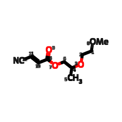 COCCOC(C)COC(=O)C=CC#N